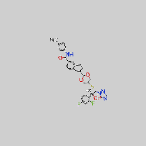 C[C@@H](SC1COC(c2ccc3cc(C(=O)Nc4ccc(C#N)cc4)ccc3c2)OC1)[C@](O)(Cn1cncn1)c1ccc(F)cc1F